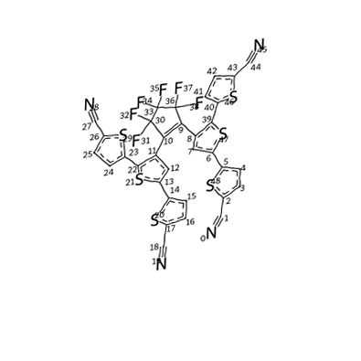 N#Cc1ccc(-c2cc(C3=C(c4cc(-c5ccc(C#N)s5)sc4-c4ccc(C#N)s4)C(F)(F)C(F)(F)C3(F)F)c(-c3ccc(C#N)s3)s2)s1